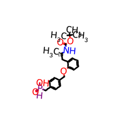 C[C@@H](Cc1ccccc1OCc1ccc(C[PH](=O)O)cc1)NC(=O)OC(C)(C)C